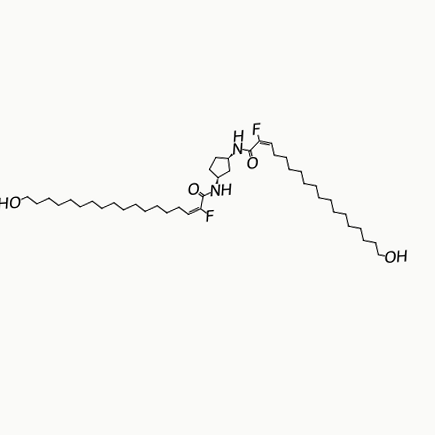 O=C(N[C@@H]1CC[C@H](NC(=O)/C(F)=C\CCCCCCCCCCCCCCCO)C1)/C(F)=C\CCCCCCCCCCCCCCCO